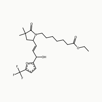 CCOC(=O)CCCCCCN1C(=O)C(C)(C)CC1C=CC(O)c1ccc(C(F)(F)F)o1